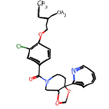 CC(COc1ccc(C(=O)N2CCC3(c4ccccn4)OCOC3C2)cc1Cl)CC(F)(F)F